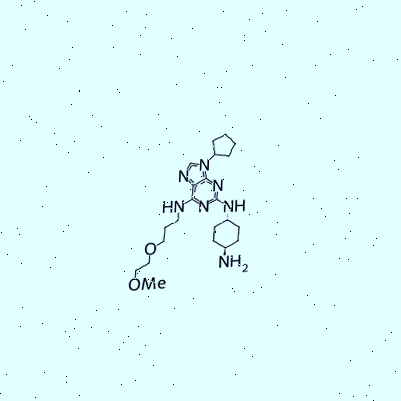 COCCOCCCNc1nc(N[C@H]2CC[C@H](N)CC2)nc2c1ncn2C1CCCC1